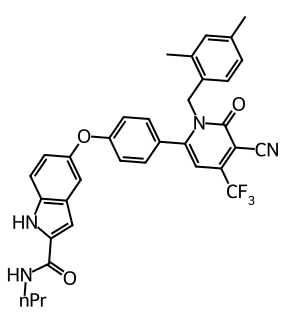 CCCNC(=O)c1cc2cc(Oc3ccc(-c4cc(C(F)(F)F)c(C#N)c(=O)n4Cc4ccc(C)cc4C)cc3)ccc2[nH]1